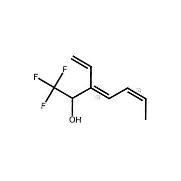 C=C/C(=C\C=C/C)C(O)C(F)(F)F